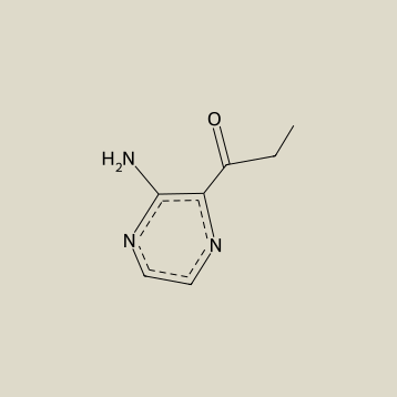 CCC(=O)c1nccnc1N